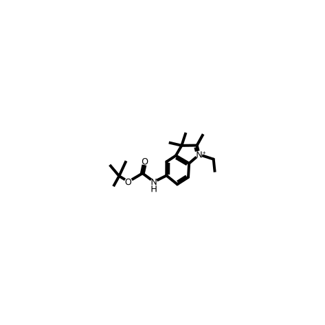 CC[N+]1=C(C)C(C)(C)c2cc(NC(=O)OC(C)(C)C)ccc21